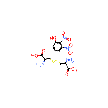 NC(CSSCC(N)C(=O)O)C(=O)O.O=[N+]([O-])c1cccc(O)c1[N+](=O)[O-]